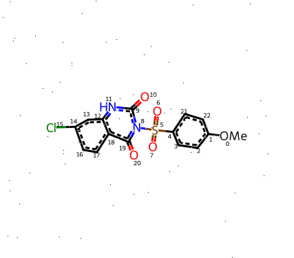 COc1ccc(S(=O)(=O)n2c(=O)[nH]c3cc(Cl)ccc3c2=O)cc1